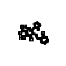 O=C(O)c1nc(-c2cccs2)n(CCc2ccccc2Cl)c(=O)c1O